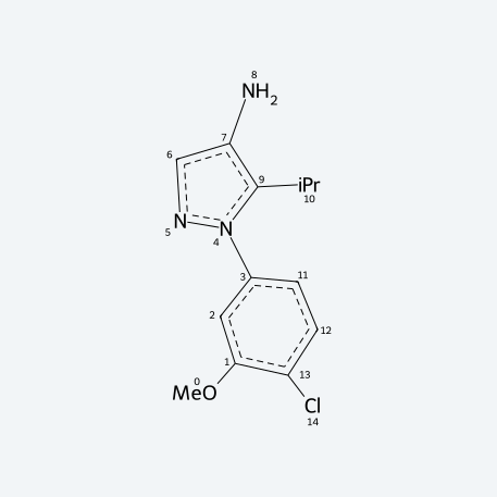 COc1cc(-n2ncc(N)c2C(C)C)ccc1Cl